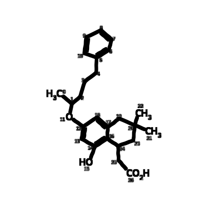 CC(CCCc1ccccc1)Oc1cc(O)c2c(c1)CC(C)(C)CC2CC(=O)O